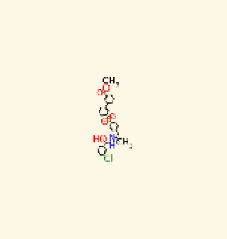 CCOC(=O)c1cccc(-c2cccc(S(=O)(=O)c3ccc(C[C@@H](C)NC[C@H](O)c4cccc(Cl)c4)cc3)c2)c1